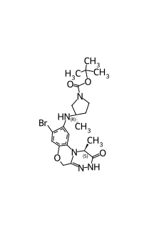 C[C@H]1C(=O)NN=C2COc3cc(Br)c(N[C@]4(C)CCN(C(=O)OC(C)(C)C)C4)cc3N21